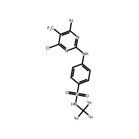 [2H]c1nc(Nc2ccc(S(=O)(=O)NC([2H])([2H])[2H])cc2)nc(Cl)c1C(F)(F)F